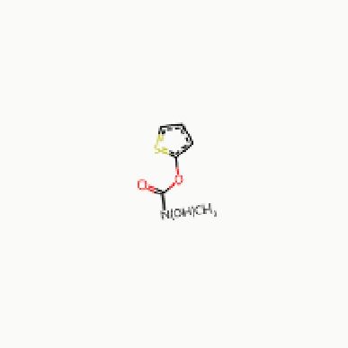 CN(O)C(=O)Oc1cccs1